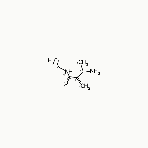 C=C(C(=O)NCC)C(C)N